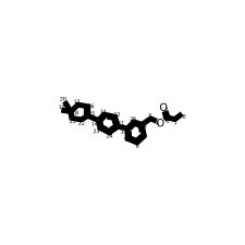 CCC(=O)OCc1cccc(-c2ccc(C3=CCC(C)(C)CC3)cc2)c1